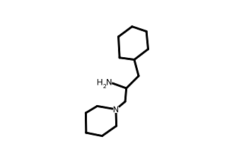 NC(CC1CCCCC1)CN1CCCCC1